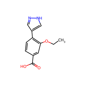 CCOc1cc(C(=O)O)ccc1-c1cn[nH]c1